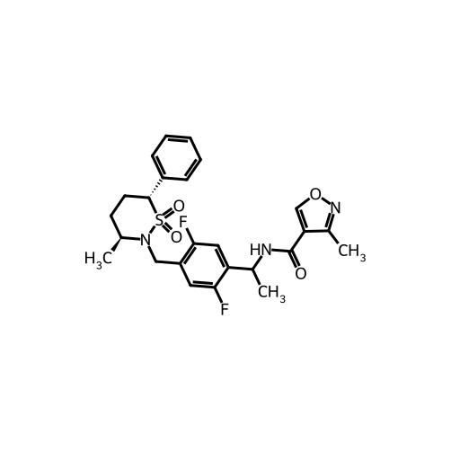 Cc1nocc1C(=O)NC(C)c1cc(F)c(CN2[C@@H](C)CC[C@H](c3ccccc3)S2(=O)=O)cc1F